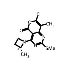 CSc1nc(N2CC[C@H]2C)c2c(=O)oc(Cl)c(C)c2n1